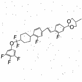 CC1COC(c2ccc(/C=C/c3ccc(C4CCC(C(F)(F)Oc5cc(F)c(F)c(F)c5)CC4)c(F)c3)c(F)c2)OC1